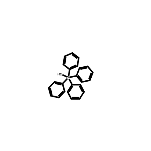 OP(c1ccccc1)(c1ccccc1)(c1ccccc1)c1ccccc1